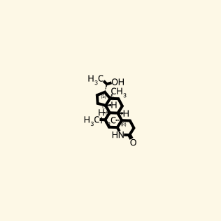 CC1CC2NC(=O)CC[C@]2(C)[C@H]2CC[C@]3(C)[C@@H](C(C)O)CC[C@H]3[C@H]12